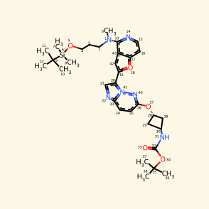 CN(CCCO[Si](C)(C)C(C)(C)C)c1nccc2oc(-c3cnc4ccc(O[C@H]5C[C@H](NC(=O)OC(C)(C)C)C5)nn34)cc12